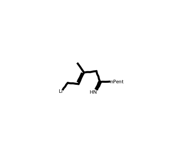 [Li][CH2]C=C(C)CC(=N)CCCCC